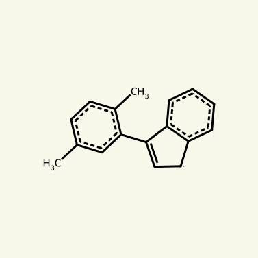 Cc1ccc(C)c(C2=C[CH]c3ccccc32)c1